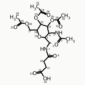 CC(=O)NC1C(CNC(=O)CCC(=O)O)OC(COC(C)=O)C(OC(C)=O)C1OC(C)=O